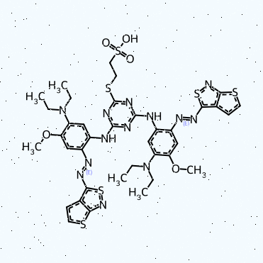 CCN(CC)c1cc(Nc2nc(Nc3cc(N(CC)CC)c(OC)cc3/N=N/c3snc4sccc34)nc(SCCS(=O)(=O)O)n2)c(/N=N/c2snc3sccc23)cc1OC